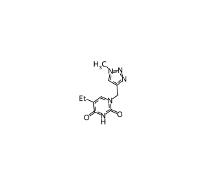 CCc1cn(Cc2cn(C)nn2)c(=O)[nH]c1=O